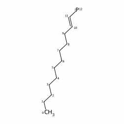 CCCCCCCCCCC=C[P]